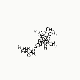 CCOC(=O)[C@@H](C)NP(=O)(COCCn1cnc2c(=O)[nH]c(N)nc21)NC1C[C@@]1(C)C(=O)OCC